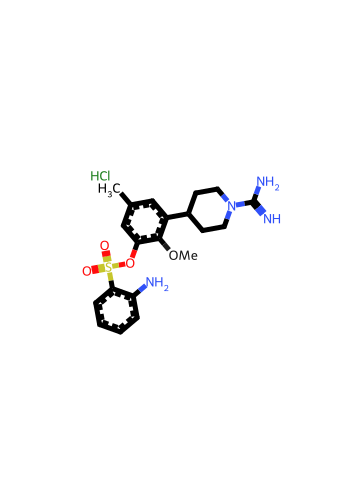 COc1c(OS(=O)(=O)c2ccccc2N)cc(C)cc1C1CCN(C(=N)N)CC1.Cl